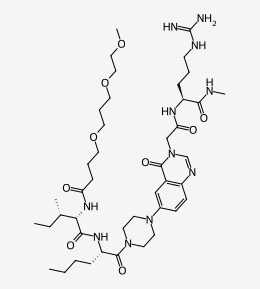 CCCC[C@H](NC(=O)[C@@H](NC(=O)CCCOCCCOCCOC)[C@@H](C)CC)C(=O)N1CCN(c2ccc3ncn(CC(=O)N[C@@H](CCCNC(=N)N)C(=O)NC)c(=O)c3c2)CC1